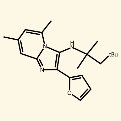 Cc1cc(C)n2c(NC(C)(C)CC(C)(C)C)c(-c3ccco3)nc2c1